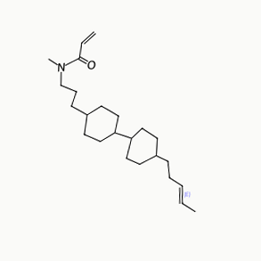 C=CC(=O)N(C)CCCC1CCC(C2CCC(CC/C=C/C)CC2)CC1